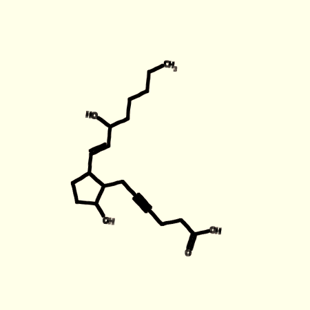 CCCCCC(O)C=CC1CCC(O)C1CC#CCCC(=O)O